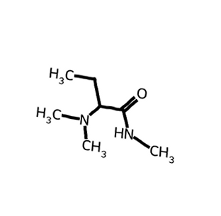 CCC(C(=O)NC)N(C)C